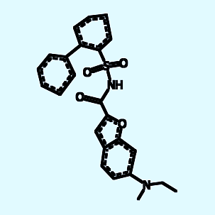 CCN(C)c1ccc2cc(C(=O)NS(=O)(=O)c3ccccc3-c3ccccc3)oc2c1